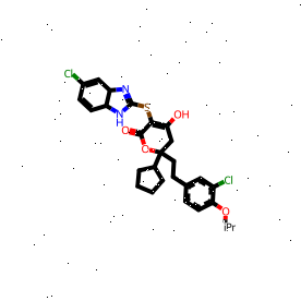 CC(C)Oc1ccc(CCC2(C3CCCC3)CC(O)=C(SC3=NC4C=C(Cl)C=CC4N3)C(=O)O2)cc1Cl